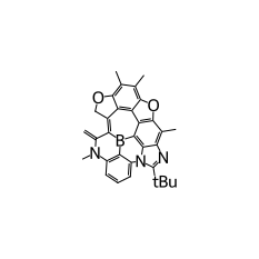 C=C1C2=C3COc4c(C)c(C)c5oc6c(C)c7nc(C(C)(C)C)n8c7c(c6c5c43)B2c2c(cccc2-8)N1C